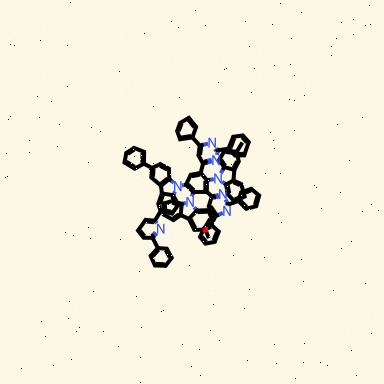 Cc1ccc2c(c1)c1ccccc1n2-c1c(-c2cc(-c3ccccc3)nc(-c3ccccc3)n2)cc(-n2c3ccc(-c4ccccc4)cc3c3cc(-c4cccc(-c5ccccc5)n4)ccc32)c(-n2c3ccccc3c3cc(C)ccc32)c1-c1cc(-c2ccccc2)nc(-c2ccccc2)n1